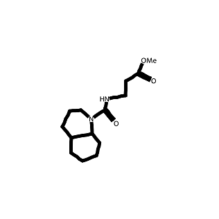 COC(=O)CCNC(=O)N1CCCC2CCCCC21